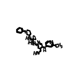 Cc1cc(Nc2cnc(NC(=O)NC3CCCN(c4ccccc4)C3)cc2C=N)ccn1